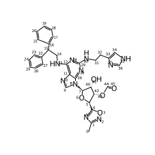 Cc1noc([C@H]2O[C@@H](n3cnc4c(NCC(c5ccccc5)c5ccccc5)nc(NCCc5c[nH]cn5)nc43)[C@H](O)[C@@H]2OC=O)n1